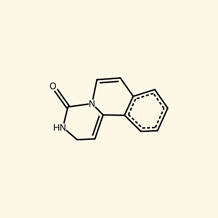 O=C1NCC=C2c3ccccc3C=CN12